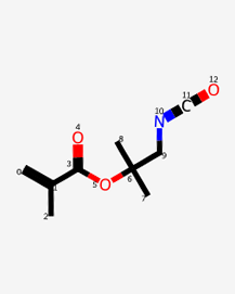 C=C(C)C(=O)OC(C)(C)CN=C=O